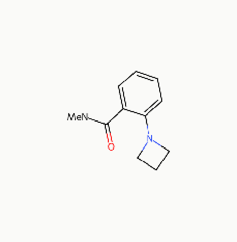 CNC(=O)c1ccccc1N1CCC1